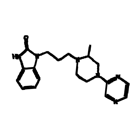 CC1CN(c2cnccn2)CCN1CCCn1c(=O)[nH]c2ccccc21